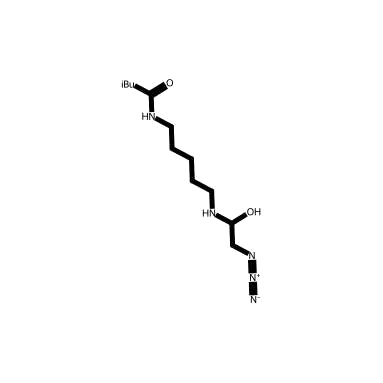 CCC(C)C(=O)NCCCCCNC(O)CN=[N+]=[N-]